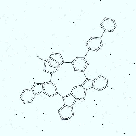 Fc1cccc(-c2cc(-n3c4ccccc4c4cc5c6ccccc6n(-c6nc(-c7ccccc7)nc(-c7ccc(-c8ccccc8)cc7)n6)c5cc43)cc3c2oc2ccccc23)c1